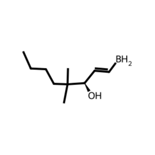 B/C=C/[C@@H](O)C(C)(C)CCCC